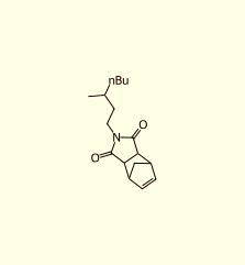 CCCCC(C)CCN1C(=O)C2C3C=CC(C3)C2C1=O